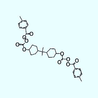 Cc1ccc(C(=O)OOC(=O)OC2CCC(C(C)(C)C3CCC(OC(=O)OOC(=O)c4ccc(C)cc4)CC3)CC2)cc1